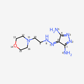 NC1=NN=C(N)C1=NNCCN1CCOCC1